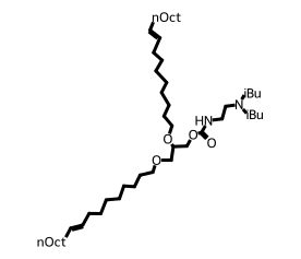 CCCCCCCCC=CCCCCCCCCOCC(COC(=O)NCCN(C(C)CC)C(C)CC)OCCCCCCCCC=CCCCCCCCC